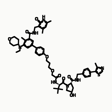 CCN(c1cc(-c2ccc(OCCCOCC(=O)N[C@H](C(=O)N3C[C@H](O)C[C@H]3C(=O)NCc3ccc(-c4scnc4C)cc3)C(C)(C)C)cc2)cc(C(=O)NCc2c(C)cc(C)[nH]c2=O)c1C)C1CCOCC1